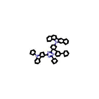 c1ccc(-c2cccc(-c3cc(-n4c5cc6ccccc6cc5c5ccc6ccccc6c54)ccc3-c3nc(-c4ccccc4)nc(-c4ccc5c(c4)c4ccccc4n5-c4ccccc4)n3)c2)cc1